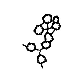 Cc1ccc(N(c2ccc(C)cc2)c2ccc3cc4c(cc3c2)C2(c3ccccc3-c3ccccc32)c2c-4ccc3ccccc23)cc1